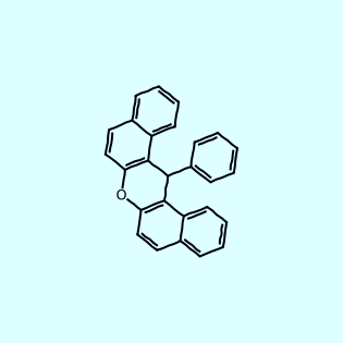 c1ccc(C2c3c(ccc4ccccc34)Oc3ccc4ccccc4c32)cc1